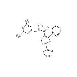 CC(=O)NCC(=O)N1CCC(C(=O)N(C)Cc2cc(C(F)(F)F)cc(C(F)(F)F)c2)=C(c2ccccc2)C1